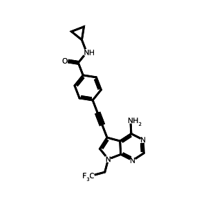 Nc1ncnc2c1c(C#Cc1ccc(C(=O)NC3CC3)cc1)cn2CC(F)(F)F